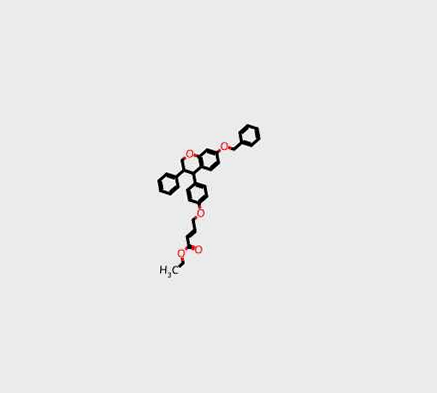 CCOC(=O)/C=C/COc1ccc(C2c3ccc(OCc4ccccc4)cc3OCC2c2ccccc2)cc1